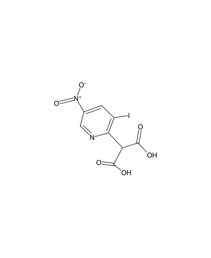 O=C(O)C(C(=O)O)c1ncc([N+](=O)[O-])cc1I